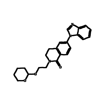 O=C1c2ccc(-n3cnc4ccccc43)cc2CCN1CCOC1CCCCO1